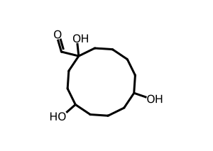 O=CC1(O)CCCCC(O)CCCC(O)CC1